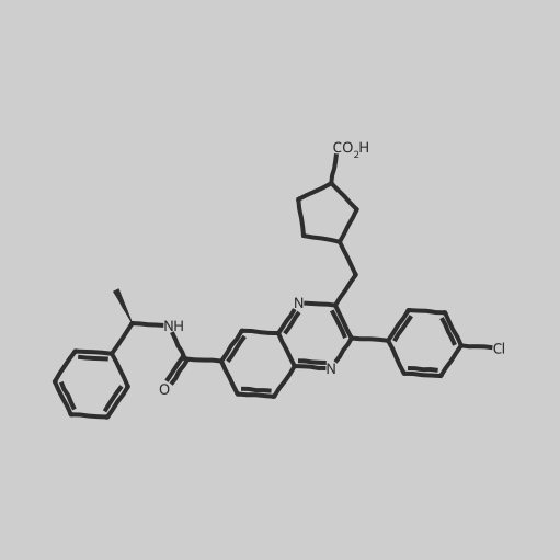 C[C@@H](NC(=O)c1ccc2nc(-c3ccc(Cl)cc3)c(CC3CCC(C(=O)O)C3)nc2c1)c1ccccc1